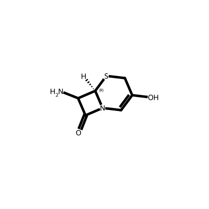 NC1C(=O)N2C=C(O)CS[C@H]12